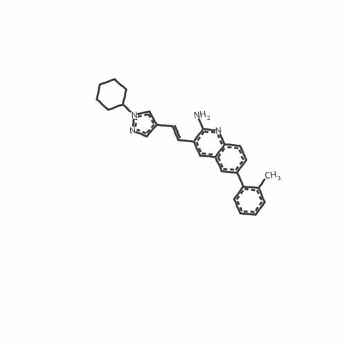 Cc1ccccc1-c1ccc2nc(N)c(C=Cc3cnn(C4CCCCC4)c3)cc2c1